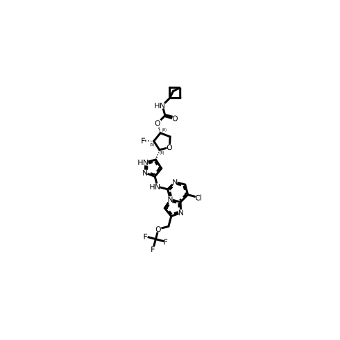 O=C(NC12CC(C1)C2)O[C@@H]1CO[C@H](c2cc(Nc3ncc(Cl)c4nc(COC(F)(F)F)cn34)n[nH]2)[C@@H]1F